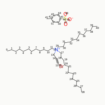 CCCCCCCCCCCC[N+](CC#CBr)(CCCCCCCCCCCC)CCCCCCCCCCCC.Cc1ccc(S(=O)(=O)[O-])cc1